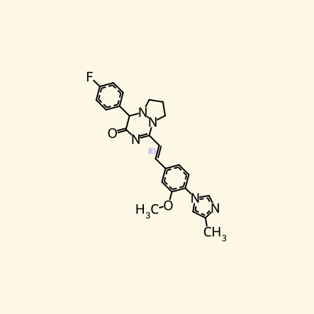 COc1cc(/C=C/C2=NC(=O)C(c3ccc(F)cc3)N3CCCN23)ccc1-n1cnc(C)c1